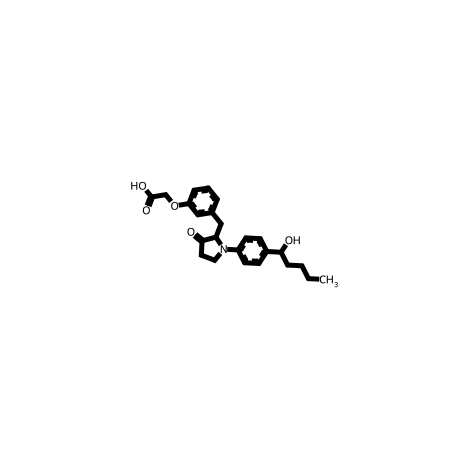 CCCCC(O)c1ccc(N2CCC(=O)C2Cc2cccc(OCC(=O)O)c2)cc1